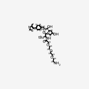 Cc1ncsc1-c1ccc(CNC(O)[C@@H]2C[C@@H](O)CN2C(=O)[C@@H](NC(=O)COCCOCCOCCN)C(C)(C)C)cc1